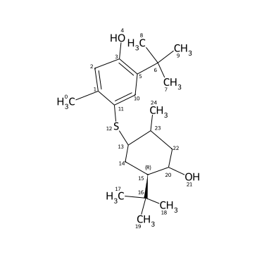 Cc1cc(O)c(C(C)(C)C)cc1SC1C[C@H](C(C)(C)C)C(O)CC1C